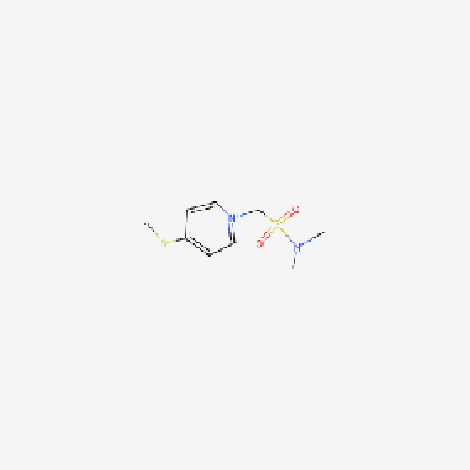 [CH2]Sc1cc[n+](CS(=O)(=O)N(C)C)cc1